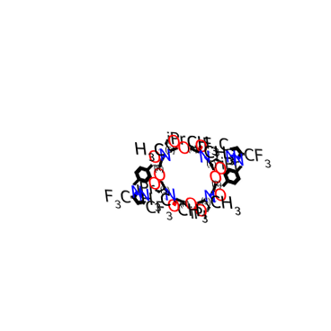 CC(C)C[C@H]1C(=O)O[C@H](Cc2ccc(Cn3nc(C(F)(F)F)cc3C(F)(F)F)cc2)C(=O)N(C)[C@@H](CC(C)C)C(=O)O[C@H](C)C(=O)N(C)[C@@H](CC(C)C)C(=O)O[C@H](Cc2ccc(Cn3nc(C(F)(F)F)cc3C(F)(F)F)cc2)C(=O)N(C)[C@@H](CC(C)C)C(=O)O[C@H](C)C(=O)N1C